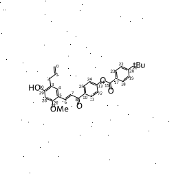 C=CCc1cc(/C=C/C(=O)c2ccc(OC(=O)c3ccc(C(C)(C)C)cc3)cc2)c(OC)cc1O